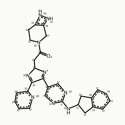 O=C(CC1N=C(c2cnc(NC3Cc4ccccc4C3)nc2)C(c2ccccn2)=N1)N1CCc2[nH][nH]c2C1